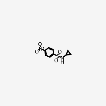 O=[N+]([O-])c1ccc(S(=O)(=O)NC2CC2)cc1